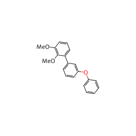 COc1cccc(-c2cc[c]c(Oc3ccccc3)c2)c1OC